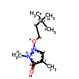 Cc1cn(OCC[Si](C)(C)C)n(C)c1=O